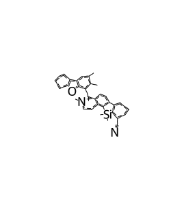 Cc1cc2c(oc3ccccc32)c(-c2c3ccc4c(c3cc[n+]2C)[Si](C)(C)c2c(C#N)cccc2-4)c1C